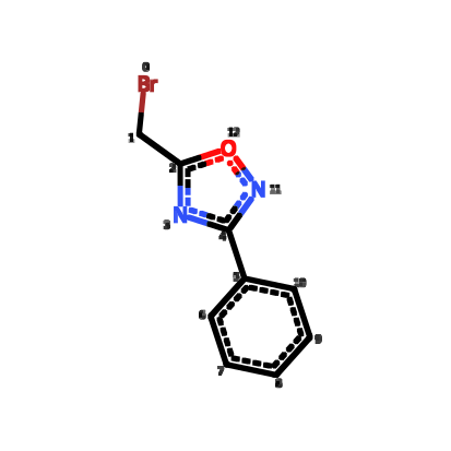 BrCc1nc(-c2ccccc2)no1